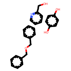 OCc1ccccn1.Oc1ccc(O)cc1.c1ccc(COCc2ccccc2)cc1